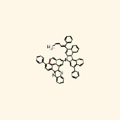 C/C=C\C=C(/c1ccccc1)c1cc2c(c3ccccc13)c1c3ccccc3c(-c3ccccc3)cc1n2-c1cc(-c2nc3ccccc3nc2-c2ccc(-c3ccccc3)cc2)c2ccccc2c1